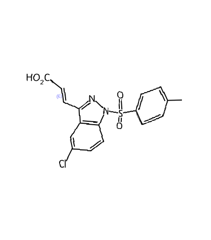 Cc1ccc(S(=O)(=O)n2nc(/C=C/C(=O)O)c3cc(Cl)ccc32)cc1